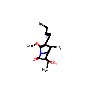 CC(C)C/C=C/C1=C(OC=O)N2C(=O)C(C(C)O)C2C1C